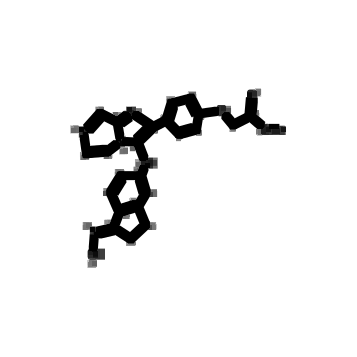 COC(=O)COc1ccc(-c2nc3cnccn3c2Nc2ccc3c(c2)CCC3=NO)cc1